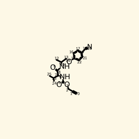 C#CCOC(=O)N[C@H](C(=O)NC(C)COc1ccc(C#N)cc1)C(C)C